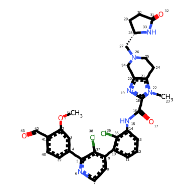 COc1cc(-c2nccc(-c3cccc(NC(=O)c4nc5c(n4C)CCN(C[C@@H]4CCC(=O)N4)C5)c3Cl)c2Cl)ccc1C=O